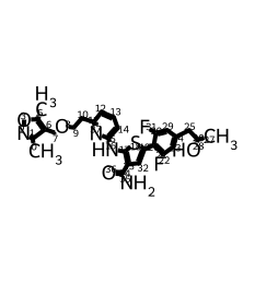 Cc1noc(C)c1COCCc1cccc(Nc2sc(-c3c(F)cc(CC(C)O)cc3F)cc2C(N)=O)n1